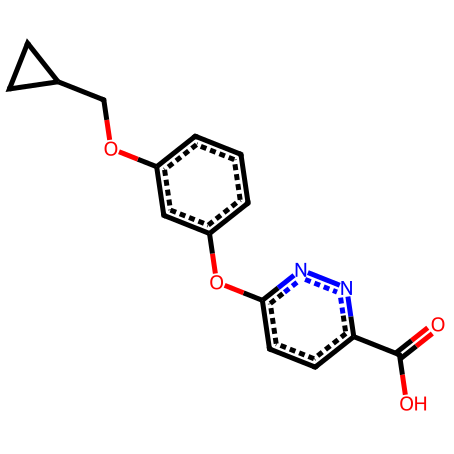 O=C(O)c1ccc(Oc2cccc(OCC3CC3)c2)nn1